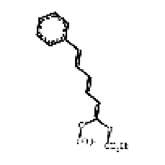 CCOC(=O)OC(=CC=CC=Cc1ccccc1)OC(=O)O